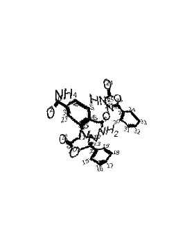 NC(=O)c1ccc(C(N)=O)c(-n2nc(-c3ccccc3)oc2=O)c1.O=c1[nH]nc(-c2ccccc2)o1